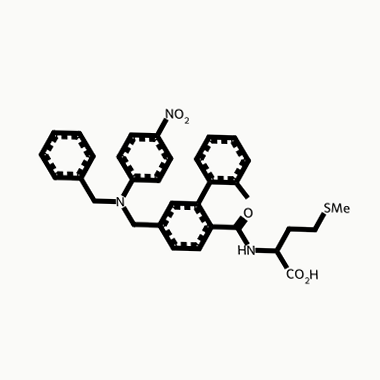 CSCCC(NC(=O)c1ccc(CN(Cc2ccccc2)c2ccc([N+](=O)[O-])cc2)cc1-c1ccccc1C)C(=O)O